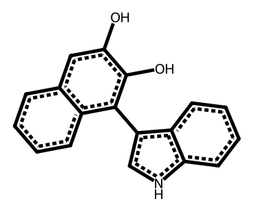 Oc1cc2ccccc2c(-c2c[nH]c3ccccc23)c1O